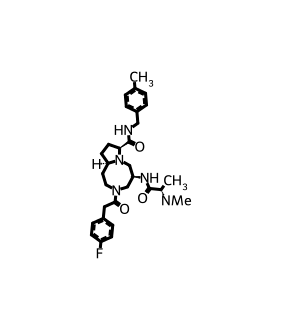 CN[C@@H](C)C(=O)N[C@H]1CN(C(=O)Cc2ccc(F)cc2)CC[C@H]2CC[C@@H](C(=O)NCc3ccc(C)cc3)N2C1